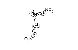 O=C(C(Cl)Cl)N(CCCCCCCCN(Cc1ccc(Oc2ccc([N+](=O)[O-])cc2)cc1)C(=O)C(Cl)Cl)Cc1ccc(Oc2ccc([N+](=O)[O-])cc2)cc1